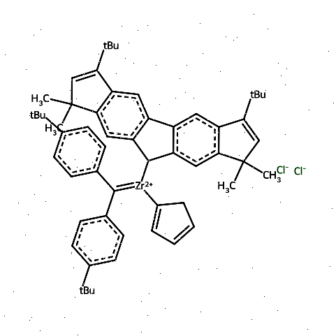 CC(C)(C)C1=CC(C)(C)c2cc3c(cc21)-c1cc2c(cc1[CH]3[Zr+2]([C]1=CC=CC1)=[C](c1ccc(C(C)(C)C)cc1)c1ccc(C(C)(C)C)cc1)C(C)(C)C=C2C(C)(C)C.[Cl-].[Cl-]